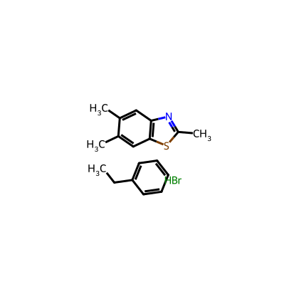 Br.CCc1ccccc1.Cc1nc2cc(C)c(C)cc2s1